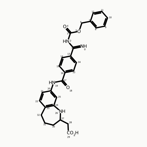 N=C(NC(=O)OCc1ccccc1)c1ccc(C(=O)Nc2ccc3c(c2)NC(CC(=O)O)CCC3)cc1